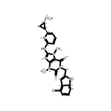 Cn1c(Nc2cccc([C@H]3C[C@@H]3C(=O)O)n2)nc2c1c(=O)n(Cc1cc3c(Cl)cccc3[nH]1)c(=O)n2C